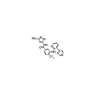 Cn1nc(C(C)(C)C)cc1NC(=O)c1ccc(C(F)(F)F)c(Nc2ncccc2-c2ccncn2)c1